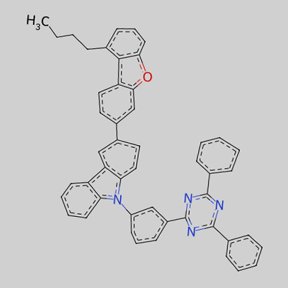 CCCCc1cccc2oc3cc(-c4ccc5c(c4)c4ccccc4n5-c4cccc(-c5nc(-c6ccccc6)nc(-c6ccccc6)n5)c4)ccc3c12